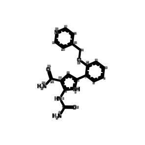 NC(=O)Nc1[nH]c(-c2ccccc2OCc2ccncc2)cc1C(N)=O